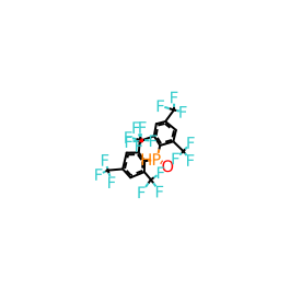 O=[PH](c1c(C(F)(F)F)cc(C(F)(F)F)cc1C(F)(F)F)c1c(C(F)(F)F)cc(C(F)(F)F)cc1C(F)(F)F